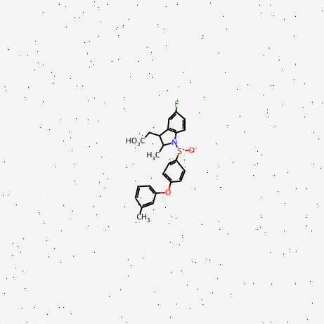 Cc1cccc(Oc2ccc([S+]([O-])N3c4ccc(F)cc4C(CC(=O)O)C3C)cc2)c1